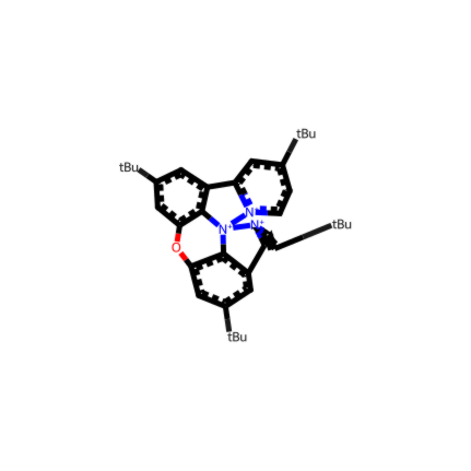 CC(C)(C)c1cc2c3c(c1)-c1cc(C(C)(C)C)cc[n+]1[N+]31c3c(cc(C(C)(C)C)cc3-c3cc(C(C)(C)C)cc[n+]31)O2